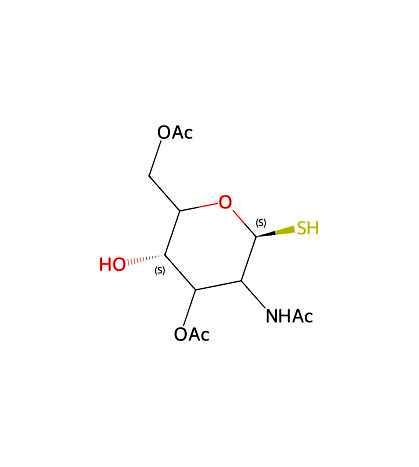 CC(=O)NC1C(OC(C)=O)[C@H](O)C(COC(C)=O)O[C@H]1S